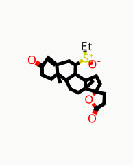 CC[S+]([O-])C1CC2=CC(=O)CCC2(C)C2CCC3(C)C(CCC34CCC(=O)O4)C12